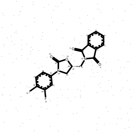 O=C1c2ccccc2C(=O)N1C[C@@H]1CN(c2ccc(I)c(F)c2)C(=O)O1